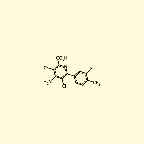 Nc1c(Cl)c(C(=O)O)nc(-c2ccc(C(F)(F)F)c(F)c2)c1Cl